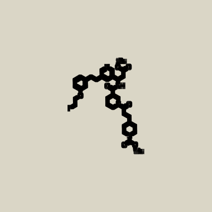 CC(C)(C)OC(=O)CC(NC(=O)C1CCCN(C(=O)CCC2CCN(C(=O)OC(C)(C)C)CC2)C1)c1cncc(CCc2cccc(OCCF)c2)c1